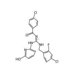 O=C(/N=C(/NCc1ccc(Cl)cc1F)Nc1cccc(O)n1)c1ccc(Cl)cc1